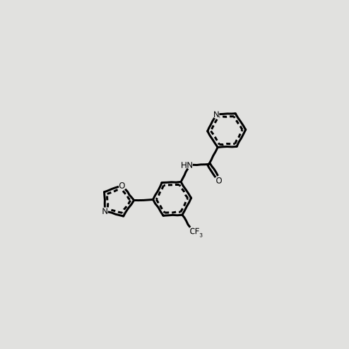 O=C(Nc1cc(-c2cnco2)cc(C(F)(F)F)c1)c1cccnc1